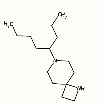 CCCCC(CCC)N1CCC2(CCN2)CC1